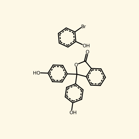 O=C1OC(c2ccc(O)cc2)(c2ccc(O)cc2)c2ccccc21.Oc1ccccc1Br